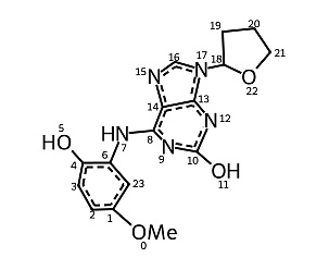 COc1ccc(O)c(Nc2nc(O)nc3c2ncn3C2CCCO2)c1